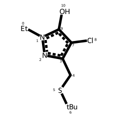 CCn1nc(CSC(C)(C)C)c(Cl)c1O